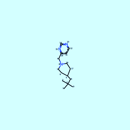 CC(C)(C)CC1CCN(Cc2ccncn2)CC1